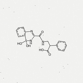 O=C(NCC(C(=O)O)c1ccccc1)C1=Nc2ccccc2S(O)(O)N1